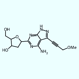 COCC#Cc1n[nH]c2nc(C3CC(O)C(CO)O3)nc(N)c12